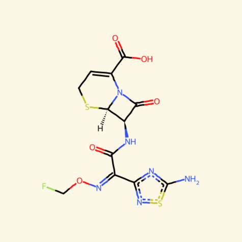 Nc1nc(/C(=N/OCF)C(=O)N[C@@H]2C(=O)N3C(C(=O)O)=CCS[C@H]23)ns1